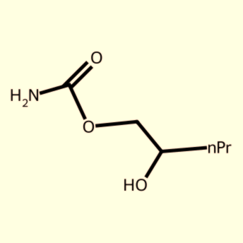 CCCC(O)COC(N)=O